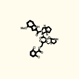 COc1cccc2[nH]c(C(=O)N3C[C@@H]4CCC[C@@H]4[C@H]3C(=O)N[C@@H](C[C@@H]3CCNC3=O)C(=O)COC(=O)c3c(Cl)cccc3Cl)cc12